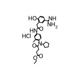 CCOC(=O)CCC(=O)N(c1ccc(NC(=O)Cc2cc(C(=N)N)ccc2O)cc1C)C1CCCC1.Cl